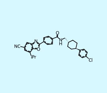 CC(C)c1cc(C#N)cc2nc(-c3ccc(C(=O)NC[C@H]4CC[C@H](c5ccc(Cl)cc5)CC4)cc3)oc12